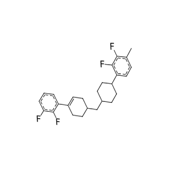 Cc1ccc(C2CCC(CC3CC=C(c4cccc(F)c4F)CC3)CC2)c(F)c1F